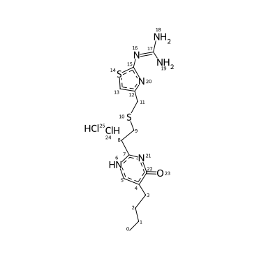 CCCCc1c[nH]c(CCSCc2csc(N=C(N)N)n2)nc1=O.Cl.Cl